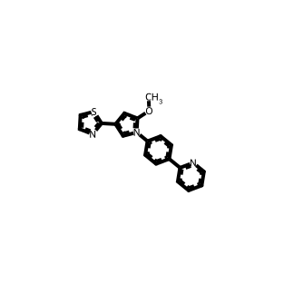 COc1cc(-c2nccs2)cn1-c1ccc(-c2ccccn2)cc1